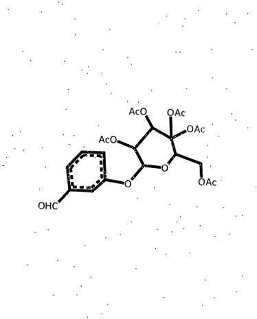 CC(=O)OCC1OC(Oc2cccc(C=O)c2)C(OC(C)=O)C(OC(C)=O)C1(OC(C)=O)OC(C)=O